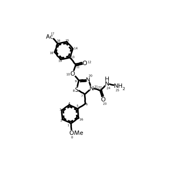 COc1cccc(CC2SC(OC(=O)c3ccc(C(C)=O)cc3)=NN2C(=O)NN)c1